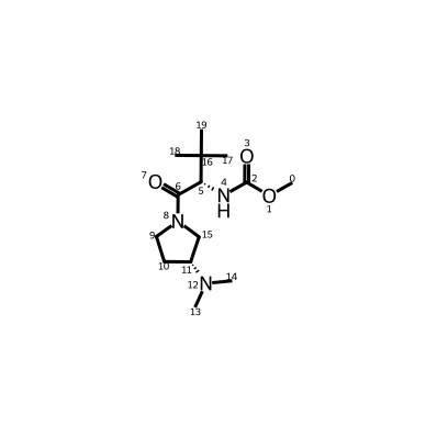 COC(=O)N[C@H](C(=O)N1CC[C@@H](N(C)C)C1)C(C)(C)C